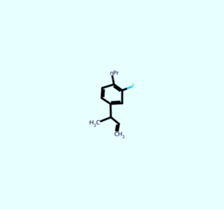 [CH2]C(C=C)c1ccc(CCC)c(F)c1